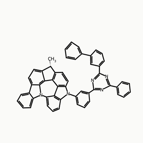 C[C@@H]1c2ccc3c4c2c2c1ccc1c5ccccc5n(c5cccc(c45)n3-c3cccc(-c4nc(-c5ccccc5)nc(-c5cccc(-c6ccccc6)c5)n4)c3)c12